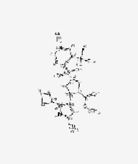 COC(=O)C1C[C@@H](S(=O)(=O)c2ccc(F)cc2C(F)(F)F)CN1c1cc(C)nn1C1CCC1